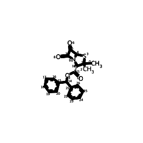 CC1(C)SC2C(=O)C(=O)N2[C@H]1C(=O)OC(c1ccccc1)c1ccccc1